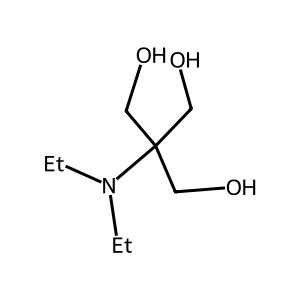 CCN(CC)C(CO)(CO)CO